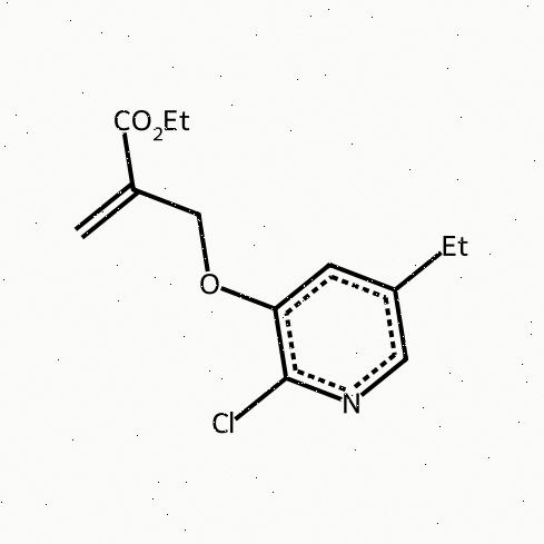 C=C(COc1cc(CC)cnc1Cl)C(=O)OCC